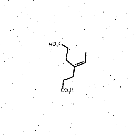 CC=C(CCC(=O)O)CCC(=O)O